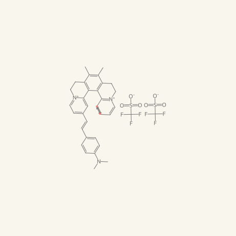 Cc1c(C)c2c(c3c1CC[n+]1ccc(/C=C/c4ccc(N(C)C)cc4)cc1-3)-c1c3ccccc3cc[n+]1CC2.O=S(=O)([O-])C(F)(F)F.O=S(=O)([O-])C(F)(F)F